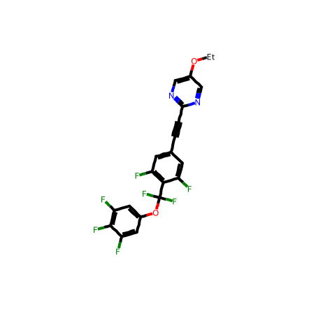 CCOc1cnc(C#Cc2cc(F)c(C(F)(F)Oc3cc(F)c(F)c(F)c3)c(F)c2)nc1